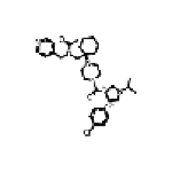 CC(=O)N(Cc1ccncc1)CC1(N2CCN(C(=O)[C@H]3CN(C(C)C)C[C@@H]3c3ccc(Cl)cc3)CC2)CCCCC1